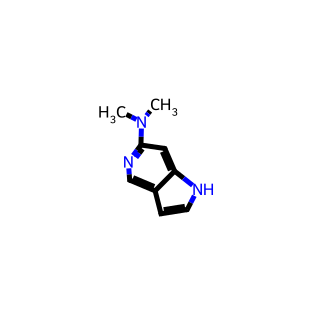 CN(C)c1cc2[nH]ccc2cn1